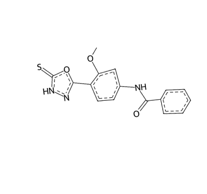 COc1cc(NC(=O)c2ccccc2)ccc1-c1n[nH]c(=S)o1